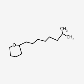 CC(C)CCCCCCC1CCCCO1